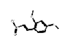 COc1ccc(C=C[N+](=O)[O-])c(OC)c1